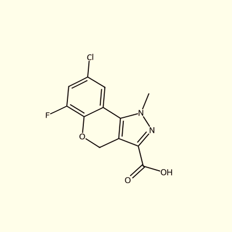 Cn1nc(C(=O)O)c2c1-c1cc(Cl)cc(F)c1OC2